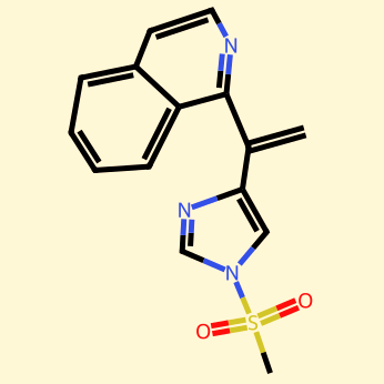 C=C(c1cn(S(C)(=O)=O)cn1)c1nccc2ccccc12